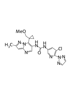 COCC1(c2c(NC(=O)Nc3cnc(-n4nccn4)c(Cl)c3)cnc3cc(C)nn23)CC1